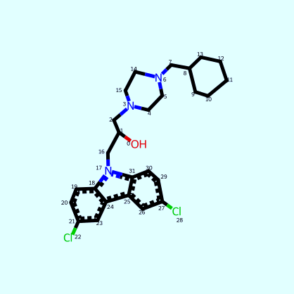 OC(CN1CCN(CC2CCCCC2)CC1)Cn1c2ccc(Cl)cc2c2cc(Cl)ccc21